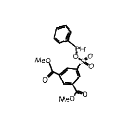 COC(=O)c1cc(C(=O)OC)cc(S(=O)(=O)OPc2ccccc2)c1